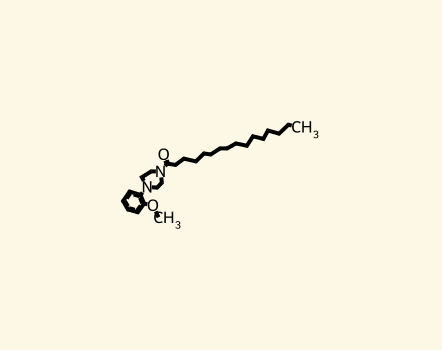 CCCCCCCCCCCCCCCC(=O)N1CCN(c2ccccc2OC)CC1